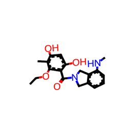 CCOc1c(C)c(O)cc(O)c1C(=O)N1Cc2cccc(NC)c2C1